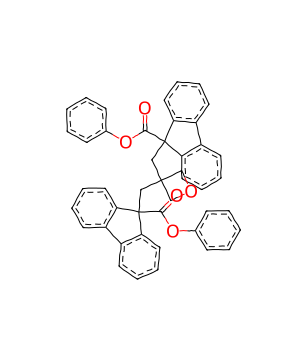 O=C(Oc1ccccc1)C1(CC2(CC3(C(=O)Oc4ccccc4)c4ccccc4-c4ccccc43)COC2)c2ccccc2-c2ccccc21